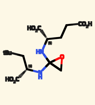 CC(C)(C)C[C@H](NC1(N[C@@H](CCC(=O)O)C(=O)O)CO1)C(=O)O